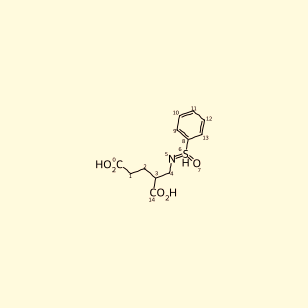 O=C(O)CCC(C/N=[SH](=O)/c1ccccc1)C(=O)O